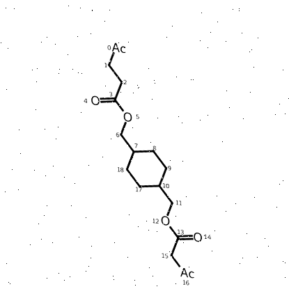 CC(=O)CCC(=O)OCC1CCC(COC(=O)CC(C)=O)CC1